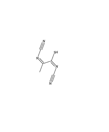 CC(=N/C#N)/C(S)=N\C#N